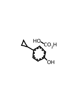 O=C(O)O.Oc1ccc(C2CC2)cc1